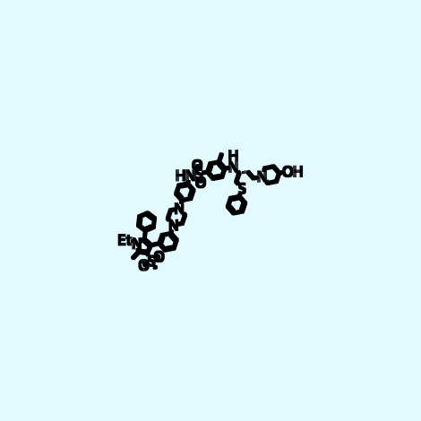 CCn1c(C)c(S(C)(=O)=O)c(-c2cccc(N3CCN(c4ccc(NS(=O)(=O)c5ccc(N[C@H](CCN6CCC(O)CC6)CSc6ccccc6)c(C)c5)cc4)CC3)c2)c1-c1ccccc1